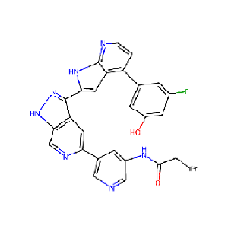 CC(C)CC(=O)Nc1cncc(-c2cc3c(-c4cc5c(-c6cc(O)cc(F)c6)ccnc5[nH]4)n[nH]c3cn2)c1